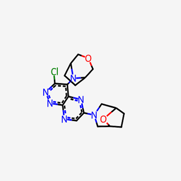 Clc1nnc2ncc(N3CC4CCC(C3)O4)nc2c1N1C2CCC1COC2